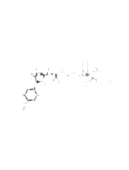 CC(C)(C)S(=O)(=O)NCCCCC(=O)Nc1nnc(-c2ccc(F)cc2)s1